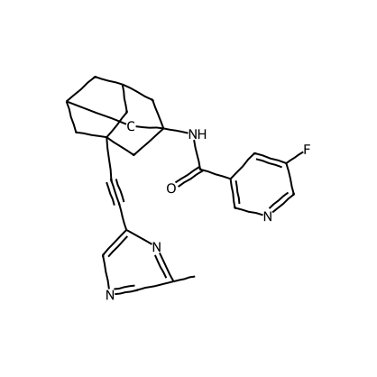 Cc1cncc(C#CC23CC4CC(C2)CC(NC(=O)c2cncc(F)c2)(C4)C3)n1